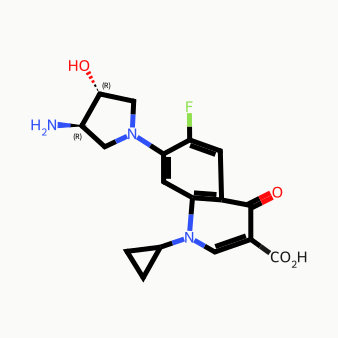 N[C@@H]1CN(c2cc3c(cc2F)c(=O)c(C(=O)O)cn3C2CC2)C[C@H]1O